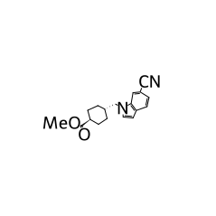 COC(=O)[C@H]1CC[C@H](Cn2ccc3ccc(C#N)cc32)CC1